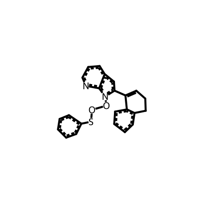 C1=C(c2cc3cccnc3n2OOSc2ccccc2)c2ccccc2CC1